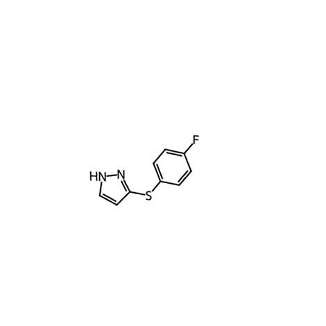 Fc1ccc(Sc2cc[nH]n2)cc1